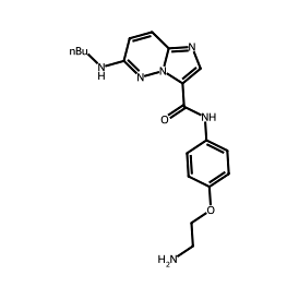 CCCCNc1ccc2ncc(C(=O)Nc3ccc(OCCN)cc3)n2n1